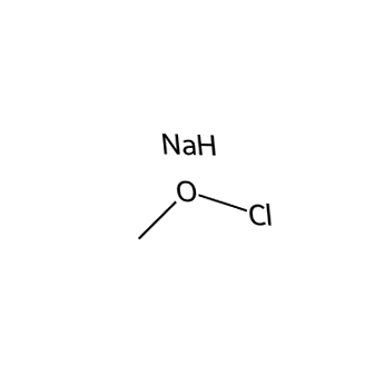 COCl.[NaH]